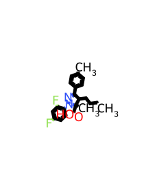 CCCCC1C(c2ccc(C)cc2)=NN(c2ccc(F)cc2F)C1(C)C(=O)O